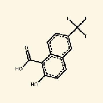 O=C(O)c1c(O)ccc2cc(C(F)(F)F)ccc12